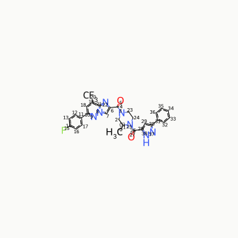 C[C@H]1CN(C(=O)c2cn3nc(-c4ccc(F)cc4)cc(C(F)(F)F)c3n2)CCN1C(=O)c1cc(-c2ccccc2)n[nH]1